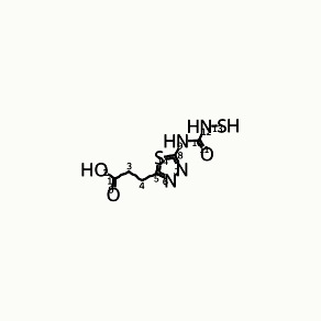 O=C(O)CCc1nnc(NC(=O)NS)s1